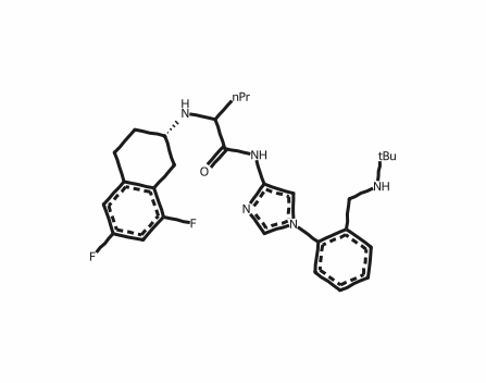 CCCC(N[C@H]1CCc2cc(F)cc(F)c2C1)C(=O)Nc1cn(-c2ccccc2CNC(C)(C)C)cn1